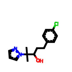 CC(C)(C(O)CCc1ccc(Cl)cc1)n1cccn1